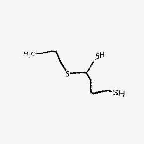 CCSC(S)CS